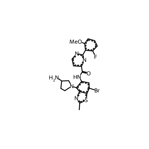 COc1cccc(F)c1-c1nccc(C(=O)Nc2cc(Br)c3sc(C)nc3c2N2CCC(N)C2)n1